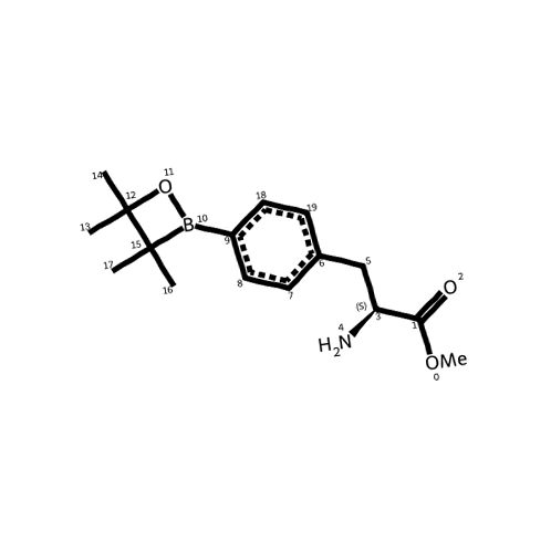 COC(=O)[C@@H](N)Cc1ccc(B2OC(C)(C)C2(C)C)cc1